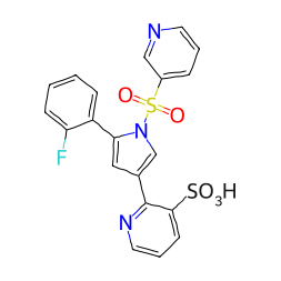 O=S(=O)(O)c1cccnc1-c1cc(-c2ccccc2F)n(S(=O)(=O)c2cccnc2)c1